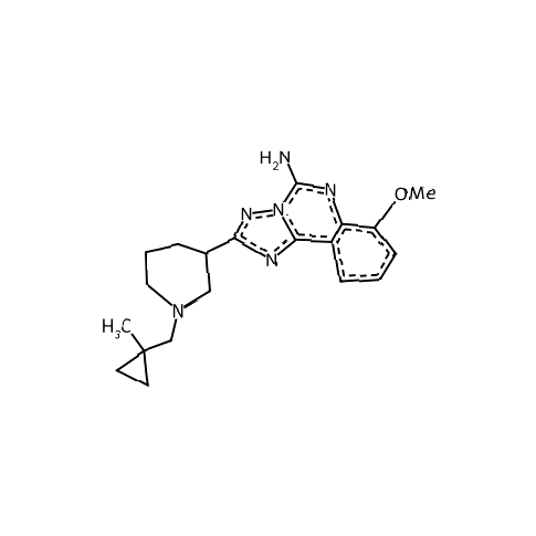 COc1cccc2c1nc(N)n1nc(C3CCCN(CC4(C)CC4)C3)nc21